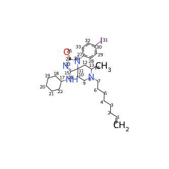 C=CCCCCCCN1CCC2(CC1C)C(NC1CCCCC1)=NC(=O)N2c1ccc(I)cc1